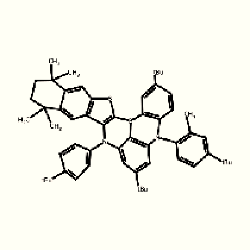 Cc1cc(C(C)(C)C)ccc1N1c2ccc(C(C)(C)C)cc2B2c3sc4cc5c(cc4c3N(c3ccc(C(C)(C)C)cc3)c3cc(C(C)(C)C)cc1c32)C(C)(C)CCC5(C)C